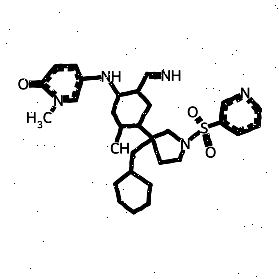 CC1CC(Nc2ccc(=O)n(C)c2)C(C=N)CC1C1(CC2CCCCC2)CCN(S(=O)(=O)c2cccnc2)C1